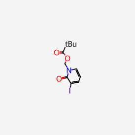 CC(C)(C)C(=O)OCn1cccc(I)c1=O